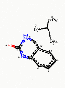 CCCCCC(CC)OC(C)=O.O=c1nc2ccccc2c[nH]1